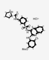 COc1ccc(Cl)c(Nc2nc3ccccc3nc2NS(=O)(=O)c2cccc(NC(=O)[C@@H]3CCCN3)c2)c1.Cl